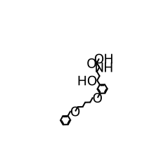 O=C(O)NCCC(O)c1cccc(OCCCCCOCc2ccccc2)c1